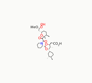 CO[C@@H](C[C@@H]1CC[C@@H](C)[C@](C)(C(=O)C(=O)N2CCCC[C@H]2C(=O)O[C@@H](CC(=O)O)[C@H](C)C[C@@H]2CC[C@@H](C)[C@H](C)C2)O1)OO